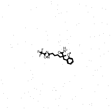 COc1ccccc1CC(C)(CCCCc1noc(C(F)(F)F)n1)C(N)=O